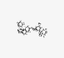 COC1(c2cc(F)cc(OCc3ccc4c(ccc5nnc(-c6ccccn6)n54)c3)c2)CCOCC1